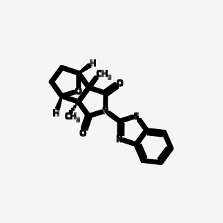 CC12C(=O)N(c3nc4ccccc4s3)C(=O)[C@@]1(C)[C@@H]1CC[C@H]2O1